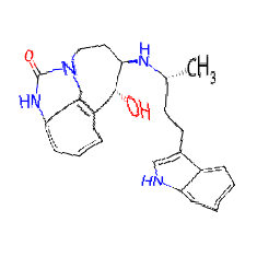 C[C@H](CCc1c[nH]c2ccccc12)N[C@@H]1CCn2c(=O)[nH]c3cccc(c32)[C@H]1O